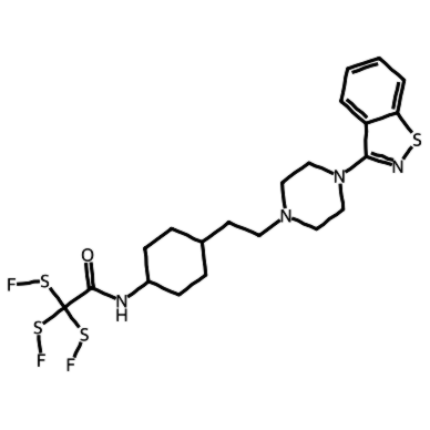 O=C(NC1CCC(CCN2CCN(c3nsc4ccccc34)CC2)CC1)C(SF)(SF)SF